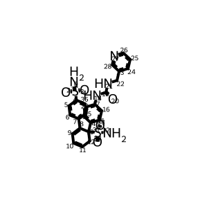 NS(=O)(=O)c1ccc(C2=CC=CCC2(c2ccc(NC(=O)NCc3cccnc3)cc2)S(N)(=O)=O)cc1